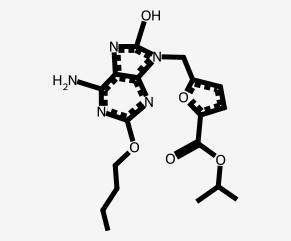 CCCCOc1nc(N)c2nc(O)n(Cc3ccc(C(=O)OC(C)C)o3)c2n1